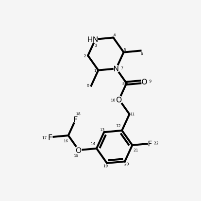 CC1CNCC(C)N1C(=O)OCc1cc(OC(F)F)ccc1F